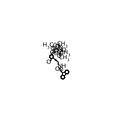 COC(=O)[C@H]1O[C@@H](Oc2ccc(C=O)c(C#CCCNC(=O)OCC3c4ccccc4-c4ccccc43)c2)[C@H](OC(C)=O)[C@@H](OC(C)=O)[C@@H]1OC(C)=O